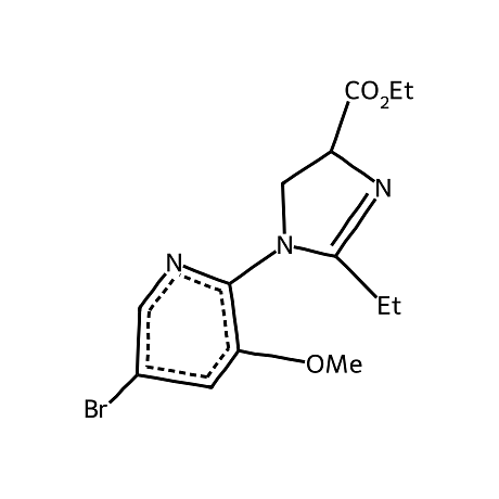 CCOC(=O)C1CN(c2ncc(Br)cc2OC)C(CC)=N1